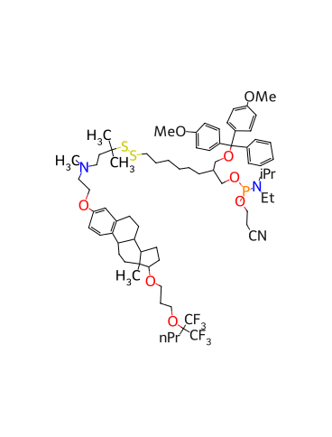 CCCC(OCCCOC1CCC2C3CCc4cc(OCCN(C)CCC(C)(C)SSCCCCCCC(COP(OCCC#N)N(CC)C(C)C)COC(c5ccccc5)(c5ccc(OC)cc5)c5ccc(OC)cc5)ccc4C3CCC12C)(C(F)(F)F)C(F)(F)F